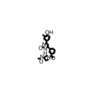 CC(=O)N(C)C1CCN(C(=O)c2cccc(-c3cc(-c4ccc(O)c(C)c4)nc(=O)[nH]3)c2)C1